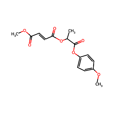 COC(=O)C=CC(=O)OC(C)C(=O)Oc1ccc(OC)cc1